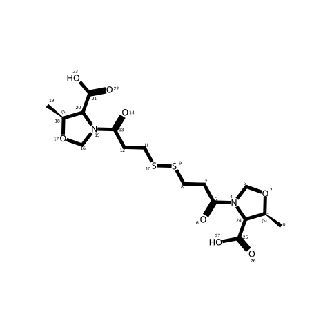 C[C@@H]1OCN(C(=O)CCSSCCC(=O)N2CO[C@@H](C)C2C(=O)O)C1C(=O)O